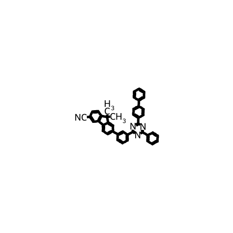 CC1(C)c2ccc(C#N)cc2-c2ccc(-c3cccc(-c4nc(-c5ccccc5)nc(-c5ccc(-c6ccccc6)cc5)n4)c3)cc21